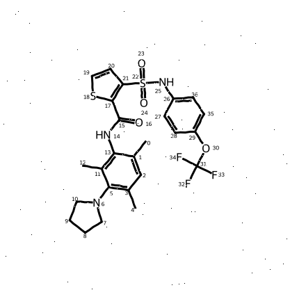 Cc1cc(C)c(N2CCCC2)c(C)c1NC(=O)c1sccc1S(=O)(=O)Nc1ccc(OC(F)(F)F)cc1